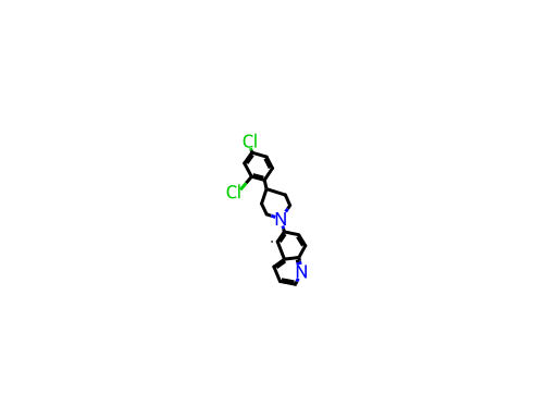 Clc1ccc(C2CCN(c3[c]c4cccnc4cc3)CC2)c(Cl)c1